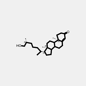 CC(CCC[C@@H](C)CO)[C@H]1CCC2C3CCC4=CC(=O)CC[C@]4(C)C3CC[C@@]21C